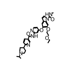 CCOCCOc1cc2c(ccn2C(=O)NC)cc1Oc1ccnc(NC(=O)c2ccc(C3CCN(C(C)C)CC3)nc2)c1